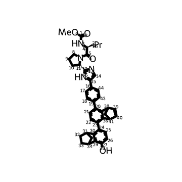 COC(=O)N[C@H](C(=O)N1CCC[C@H]1c1ncc(-c2ccc(-c3ccc(-c4ccc(O)c5c4C4CCC5C4)c4c3C3C=CC4C3)cc2)[nH]1)C(C)C